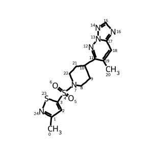 Cc1cc(S(=O)(=O)N2CCC(c3nn4ncnc4cc3C)CC2)sn1